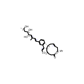 CC(/C=C/c1cccc(/C(=C/C(=O)O)[C@H]2CCCC(=O)O[C@@H](C(C)C)C/C=C/C[C@H]2C)c1)=C\[C@H](O)[C@@H](O)C[C@H](C)O